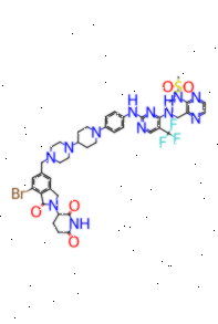 CN(c1nccnc1CNc1nc(Nc2ccc(N3CCC(N4CCN(Cc5cc(Br)c6c(c5)CN(C5CCC(=O)NC5=O)C6=O)CC4)CC3)cc2)ncc1C(F)(F)F)S(C)(=O)=O